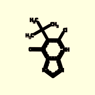 CC(C)(C)c1c(Cl)[nH]c2ncnn2c1=O